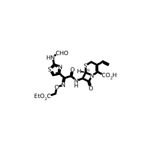 C=CC1=C(C(=O)O)N2C(=O)C(NC(=O)C(=NOCC(=O)OCC)c3csc(NC=O)n3)[C@@H]2SC1